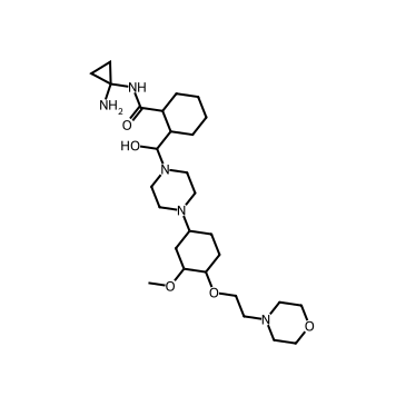 COC1CC(N2CCN(C(O)C3CCCCC3C(=O)NC3(N)CC3)CC2)CCC1OCCN1CCOCC1